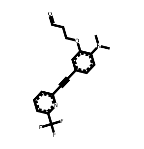 CN(C)c1ccc(C#Cc2cccc(C(F)(F)F)n2)cc1OCCC=O